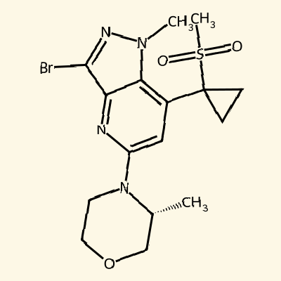 C[C@@H]1COCCN1c1cc(C2(S(C)(=O)=O)CC2)c2c(n1)c(Br)nn2C